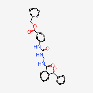 O=C(NCNC(=O)c1ccccc1C(=O)c1ccccc1)Nc1cccc(C(=O)OCc2ccccc2)c1